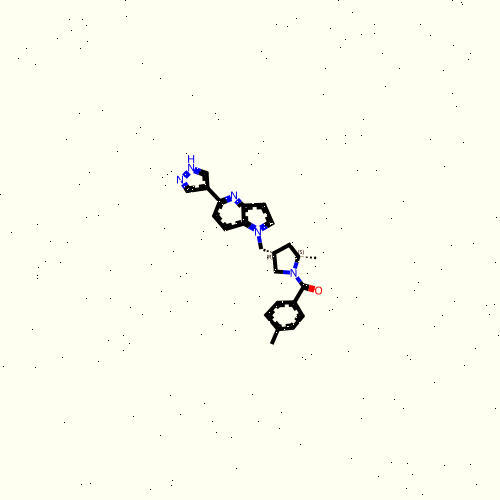 Cc1ccc(C(=O)N2C[C@H](Cn3ccc4nc(-c5cn[nH]c5)ccc43)C[C@@H]2C)cc1